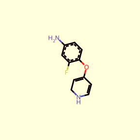 Nc1ccc(OC2=CCNC=C2)c(F)c1